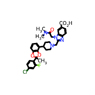 CN(C)C(=O)Cn1c(CN2CCC(c3cccc4c3OC(C)(c3ccc(Cl)cc3F)O4)CC2)nc2ccc(C(=O)O)cc21